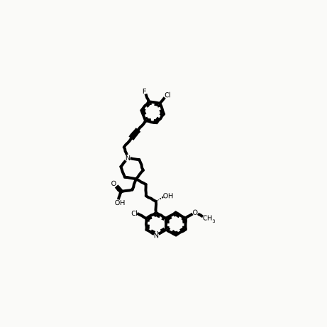 COc1ccc2ncc(Cl)c([C@@H](O)CCC3(CC(=O)O)CCN(CC#Cc4ccc(Cl)c(F)c4)CC3)c2c1